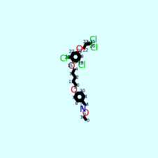 CCO/N=C/c1ccc(OCCCCCOc2c(Cl)cc(OCC=C(Cl)Cl)cc2Cl)cc1